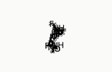 CCc1nc2c(F)cc(CN3CCN(c4ccc(C)nc4C(=O)NCCF)CC3)cc2[nH]c1=O